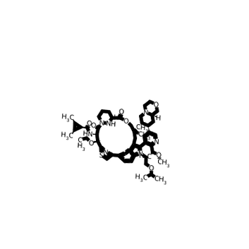 CCO[C@@H]1c2nc(cs2)-c2ccc3c(c2)c(c(-c2cc([C@@H]4CCN5CCOC[C@H]5C4)cnc2[C@H](C)OC)n3CCOC(C)C)CC(C)(C)COC(=O)[C@@H]2CCCN(N2)C(=O)[C@H]1NC(=O)[C@H]1[C@H](C)[C@@H]1C